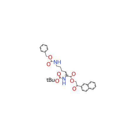 CC(C)(C)OC(=O)N[C@@H](CCCCNC(=O)OCc1ccccc1)C(=O)OCC(=O)c1ccc2ccccc2c1